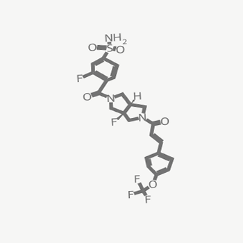 NS(=O)(=O)c1ccc(C(=O)N2C[C@H]3CN(C(=O)/C=C/c4ccc(OC(F)(F)F)cc4)C[C@]3(F)C2)c(F)c1